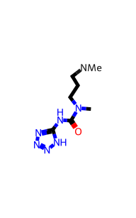 CNCCCN(C)C(=O)Nc1nnn[nH]1